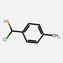 Cc1ccc(C(S)Cl)cc1